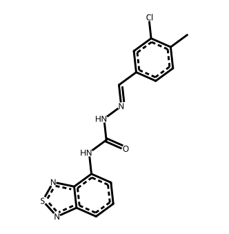 Cc1ccc(/C=N/NC(=O)Nc2cccc3nsnc23)cc1Cl